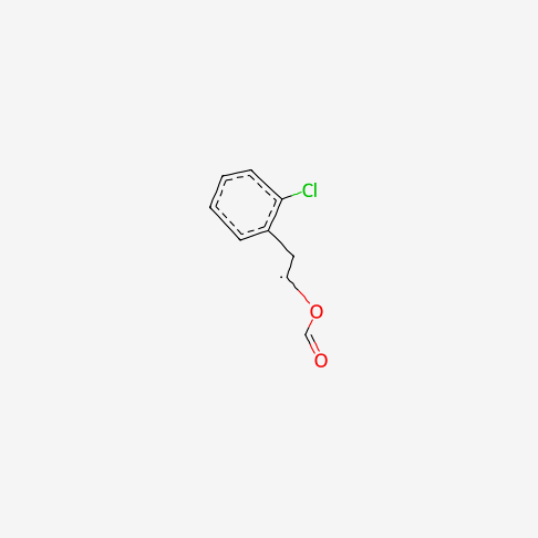 O=CO[CH]Cc1ccccc1Cl